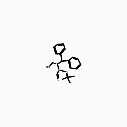 CC(C)(C)ON(C=O)[C@@H](CO)C(c1ccccc1)c1ccccc1